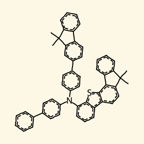 CC1(C)c2ccccc2-c2ccc(-c3ccc(N(c4ccc(-c5ccccc5)cc4)c4cccc5c4sc4c6c(ccc45)C(C)(C)c4ccccc4-6)cc3)cc21